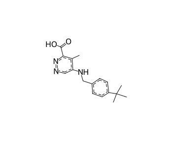 Cc1c(NCc2ccc(C(C)(C)C)cc2)cnnc1C(=O)O